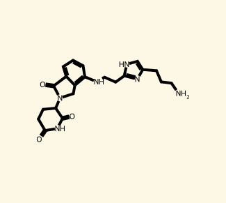 NCCCc1c[nH]c(CCNc2cccc3c2CN(C2CCC(=O)NC2=O)C3=O)n1